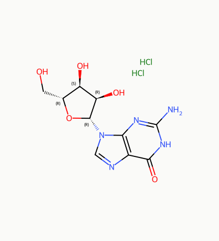 Cl.Cl.Nc1nc2c(ncn2[C@@H]2O[C@H](CO)[C@@H](O)[C@H]2O)c(=O)[nH]1